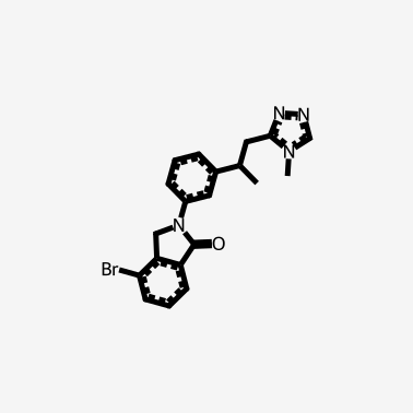 CC(Cc1nncn1C)c1cccc(N2Cc3c(Br)cccc3C2=O)c1